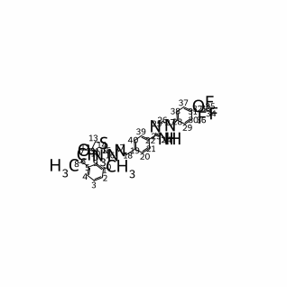 Cc1cccc(C(C)C)c1N1C(=O)CS/C1=N\N=C\c1ccc(C(=N)/N=C\Nc2ccc(OC(F)(F)F)cc2)cc1